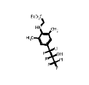 CCOC(=O)CNc1c(C)cc(C(F)(Cl)C(O)(F)C(F)(F)Cl)cc1C